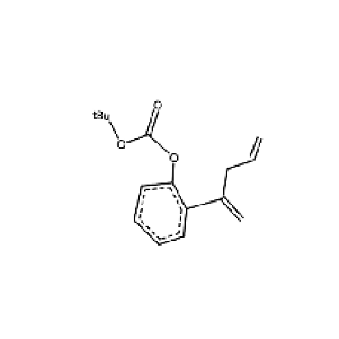 C=CCC(=C)c1ccccc1OC(=O)OC(C)(C)C